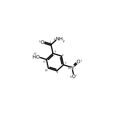 NC(=O)c1cc([N+](=O)[O-])ccc1O